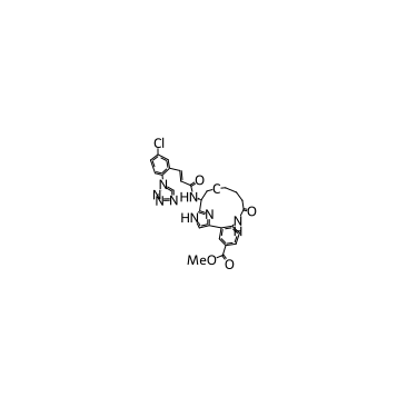 COC(=O)c1ccc2c(c1)-c1c[nH]c(n1)[C@@H](NC(=O)/C=C/c1cc(Cl)ccc1-n1cnnn1)CCCCCC(=O)N2